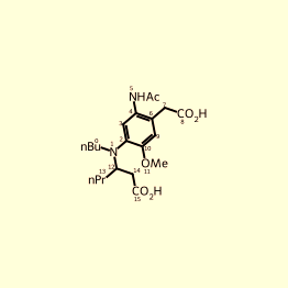 CCCCN(c1cc(NC(C)=O)c(CC(=O)O)cc1OC)C(CCC)CC(=O)O